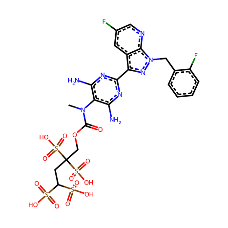 CN(C(=O)OCC(CC(S(=O)(=O)O)S(=O)(=O)O)(S(=O)(=O)O)S(=O)(=O)O)c1c(N)nc(-c2nn(Cc3ccccc3F)c3ncc(F)cc23)nc1N